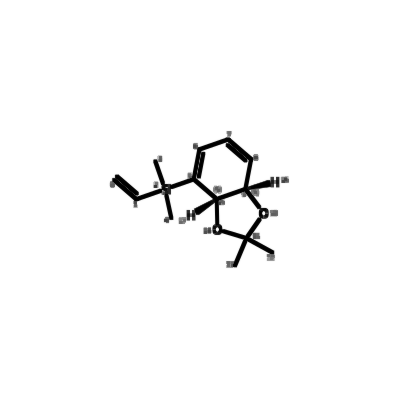 C=C[Si](C)(C)C1=CC=C[C@@H]2OC(C)(C)O[C@H]12